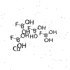 OB(O)F.OB(O)F.OB(O)F.OB(O)F.[Cu]